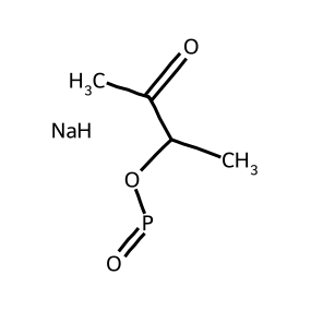 CC(=O)C(C)OP=O.[NaH]